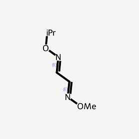 CO/N=C/C=N/OC(C)C